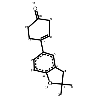 CC1(C)Cc2cc(C3=CCC(=O)CC3)ccc2O1